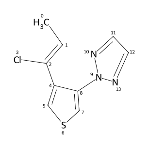 CC=C(Cl)c1cscc1-n1nccn1